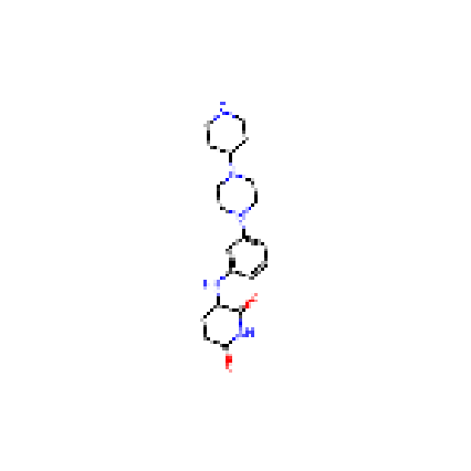 O=C1CCC(Nc2cccc(N3CCN(C4CCNCC4)CC3)c2)C(=O)N1